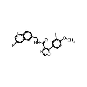 COc1ccc(-c2ocnc2C(=O)NCc2ccc3ncc(F)cc3c2)cc1I